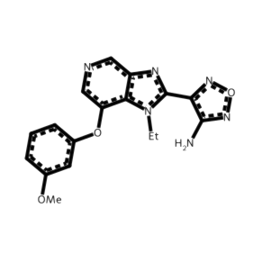 CCn1c(-c2nonc2N)nc2cncc(Oc3cccc(OC)c3)c21